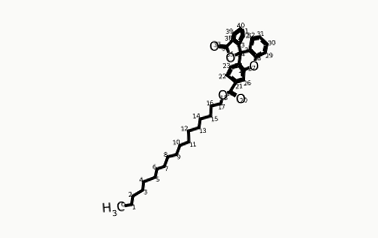 CCCCCCCCCCCCCCCCCCOC(=O)c1ccc2c(c1)Oc1ccccc1C21OC(=O)c2ccccc21